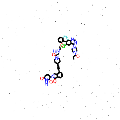 CCC(=O)N1CCN(c2ncnc3c(F)c(-c4c(F)cccc4OCCNCC(=O)N4CCC(C#Cc5cccc6c5CN(C5CCC(=O)NC5=O)C6=O)CC4)c(Cl)cc23)CC1